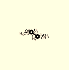 CC(O)Oc1cccc(C(C)(C)c2cccc(OC(C)O)c2)c1